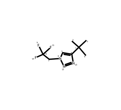 CC(C)(C)c1cn(CC(F)(F)F)nn1